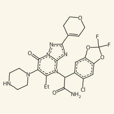 CCc1c(N2CCNCC2)c(=O)n2nc(C3=CCOCC3)nc2n1C(C(N)=O)c1cc2c(cc1Cl)OC(F)(F)O2